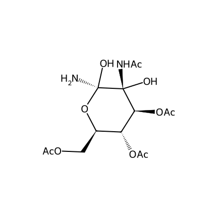 CC(=O)N[C@@]1(O)[C@@H](OC(C)=O)[C@H](OC(C)=O)[C@@H](COC(C)=O)O[C@@]1(N)O